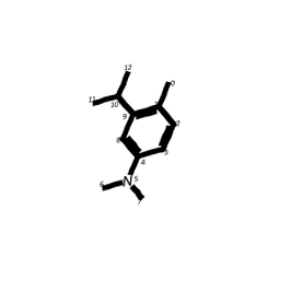 Cc1ccc(N(C)C)cc1C(C)C